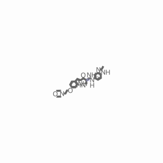 Cc1nc2cc(N/C(N)=C(\C=N)C(=O)c3cc4ccc(OCCN5CCOCC5)cc4[nH]3)ccc2[nH]1